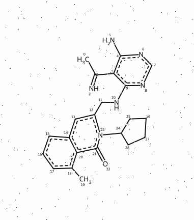 CC(=N)c1c(N)ncnc1NCc1cc2cccc(C)c2c(=O)n1C1CCCC1